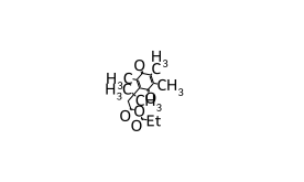 CCC(=O)OC(=O)CC(C)(C)C1=C(C)C(=O)C(C)=C(C)C1=O